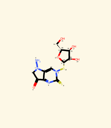 NN1CC(=O)c2nc(=S)n(S[C@@H]3O[C@H](CO)[C@@H](O)[C@H]3O)cc21